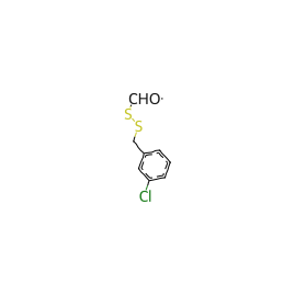 O=[C]SSCc1cccc(Cl)c1